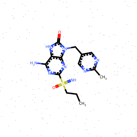 CCCS(=N)(=O)c1nc(N)c2[nH]c(=O)n(Cc3cnc(C)nc3)c2n1